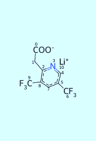 O=C([O-])Cc1ncc(C(F)(F)F)cc1C(F)(F)F.[Li+]